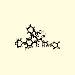 Cn1c2ccccc2n2c3nc(N4CCOCC4)c(F)cc3c(=O)c(C(=O)NCCN3CCCC3)c12